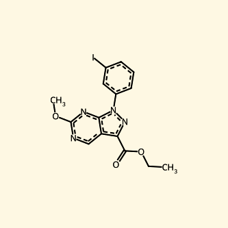 CCOC(=O)c1nn(-c2cccc(I)c2)c2nc(OC)ncc12